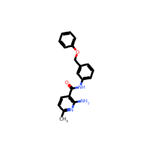 Cc1ccc(C(=O)Nc2cccc(COc3ccccc3)c2)c(N)n1